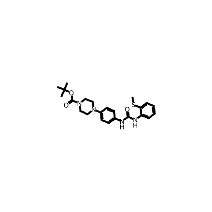 CSc1ccccc1NC(=O)Nc1ccc(N2CCN(C(=O)OC(C)(C)C)CC2)cc1